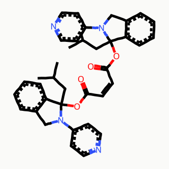 CC(C)CC1(OC(=O)/C=C\C(=O)OC2(CC(C)C)c3ccccc3CN2c2ccncc2)c2ccccc2CN1c1ccncc1